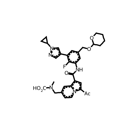 CC(=O)c1cc(C(=O)Nc2cc(COC3CCCCO3)cc(-c3cnn(C4CC4)c3)c2F)c2cc(CN(C)C(=O)O)ccn12